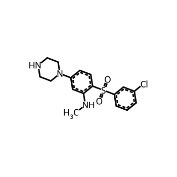 CNc1cc(N2CCNCC2)ccc1S(=O)(=O)c1cccc(Cl)c1